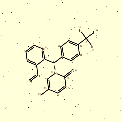 C=Cc1cccnc1[C@H](c1ccc(C(F)(F)F)cc1)n1cc(C)ccc1=O